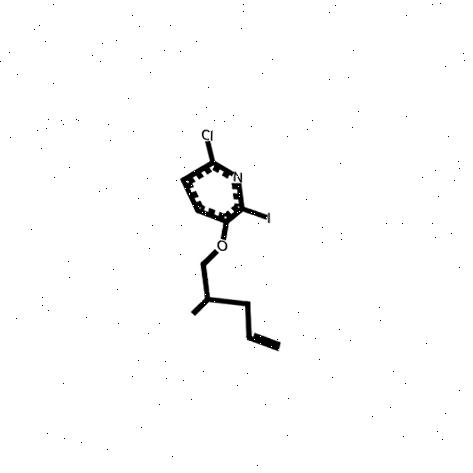 C=CCC(C)COc1ccc(Cl)nc1I